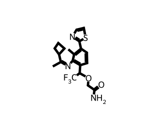 C/C(=N/c1c(C(OCC(N)=O)C(F)(F)F)ccc(-c2nccs2)c1C)C1CCC1